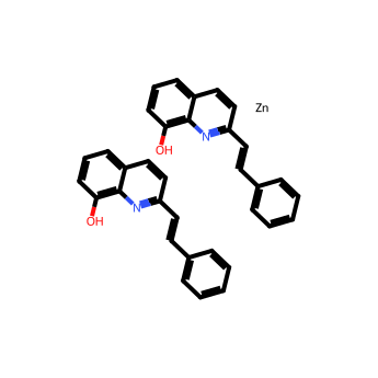 Oc1cccc2ccc(C=Cc3ccccc3)nc12.Oc1cccc2ccc(C=Cc3ccccc3)nc12.[Zn]